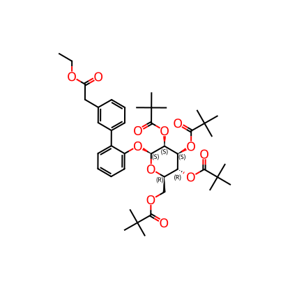 CCOC(=O)Cc1cccc(-c2ccccc2O[C@@H]2O[C@H](COC(=O)C(C)(C)C)[C@@H](OC(=O)C(C)(C)C)[C@H](OC(=O)C(C)(C)C)[C@@H]2OC(=O)C(C)(C)C)c1